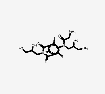 NCC(=O)N(CC(O)CO)c1c(I)c2c(I)c(c1I)C(=O)N(CC(O)CO)C2=O